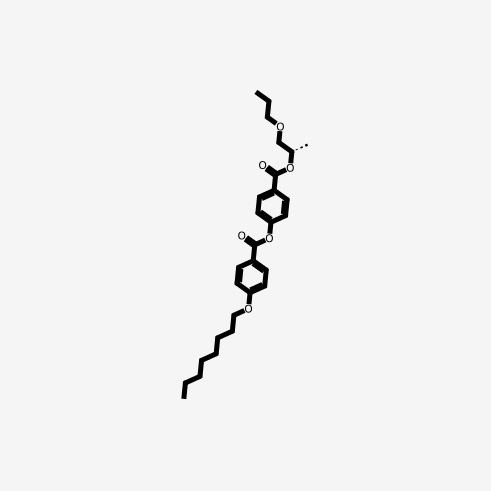 CCCCCCCCOc1ccc(C(=O)Oc2ccc(C(=O)O[C@@H](C)COCCC)cc2)cc1